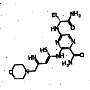 CC[C@@H](Nc1cnc(C(N)=O)c(N/C(S)=C/C(=N)CN2CCOCC2)n1)C(N)=O